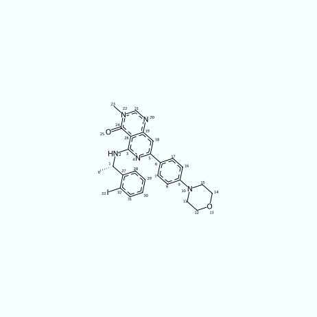 C[C@H](Nc1nc(-c2ccc(N3CCOCC3)cc2)cc2ncn(C)c(=O)c12)c1ccccc1I